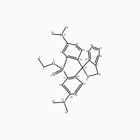 CCOP1(=O)c2cc(N(C)C)ccc2C2(SCc3ccccc32)c2ccc(N(C)C)cc21